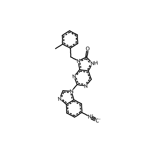 [C-]#[N+]c1ccc2ncn(-c3ncc4[nH]c(=O)n(Cc5ccccc5C)c4n3)c2c1